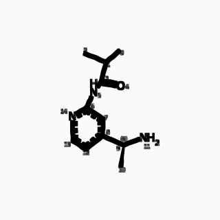 CC(C)C(=O)Nc1cc([C@H](C)N)ccn1